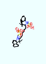 CC1(C)C(C=CC=CC=C2N(CS(=O)(=O)O)c3ccc4ccccc4c3C2(C)C)=[N+](CS(=O)(=O)O)c2ccccc21